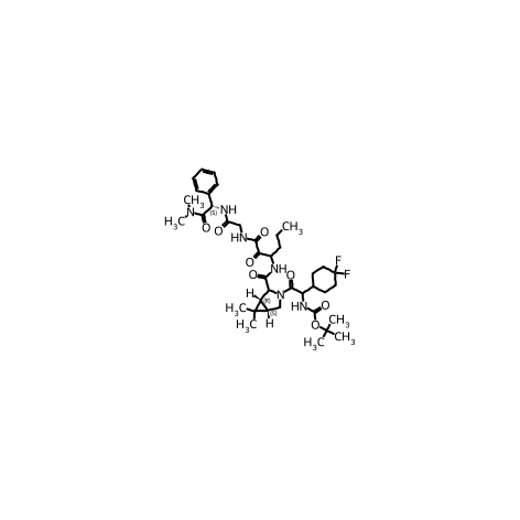 CCCC(NC(=O)C1[C@@H]2[C@H](CN1C(=O)C(NC(=O)OC(C)(C)C)C1CCC(F)(F)CC1)C2(C)C)C(=O)C(=O)NCC(=O)N[C@H](C(=O)N(C)C)c1ccccc1